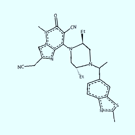 CC[C@H]1CN(C(C)c2ccc3nc(C)sc3c2)[C@H](CC)CN1c1c(C#N)c(=O)n(C)n2cc(CC#N)nc12